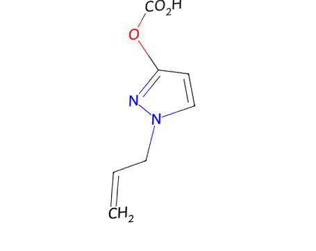 C=CCn1ccc(OC(=O)O)n1